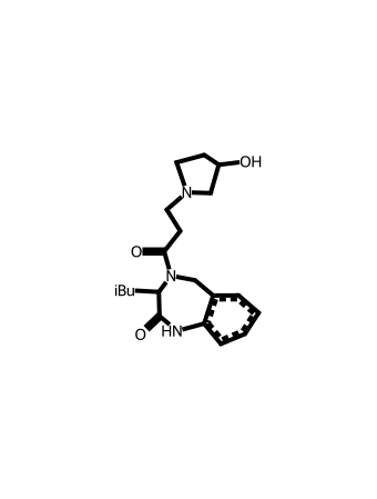 CCC(C)C1C(=O)Nc2ccccc2CN1C(=O)CCN1CCC(O)C1